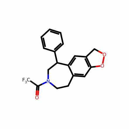 O=C(N1CCc2cc3c(cc2C(c2ccccc2)C1)COO3)C(F)(F)F